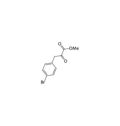 COC(=O)C(=O)Cc1ccc(Br)cc1